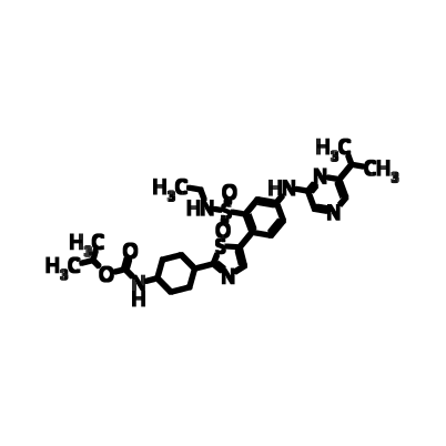 CCNS(=O)(=O)c1cc(Nc2cncc(C(C)C)n2)ccc1-c1cnc(C2CCC(NC(=O)OC(C)C)CC2)s1